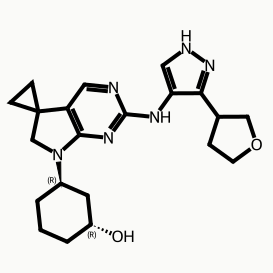 O[C@@H]1CCC[C@@H](N2CC3(CC3)c3cnc(Nc4c[nH]nc4C4CCOC4)nc32)C1